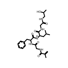 C=C(C)C(=O)NCC(=O)NC(Cc1ccccc1)C(=O)NC(CC(C)C)C(=O)NCC(=O)NCC(C)O